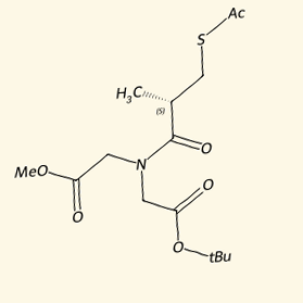 COC(=O)CN(CC(=O)OC(C)(C)C)C(=O)[C@H](C)CSC(C)=O